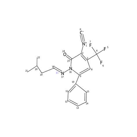 [C-]#[N+]c1c(C(F)(F)F)cc(-c2ccccc2)n(/N=C/CC(C)C)c1=O